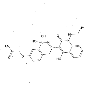 CC(C)CNn1c(=O)c(C2=NS(O)(O)c3cc(OCC(N)=O)ccc3C2)c(O)c2ccccc21